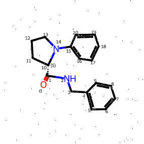 O=C(NCc1ccccc1)[C@@H]1CCCN1c1ccccc1